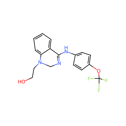 OCCN1CN=C(Nc2ccc(OC(F)(F)F)cc2)c2ccccc21